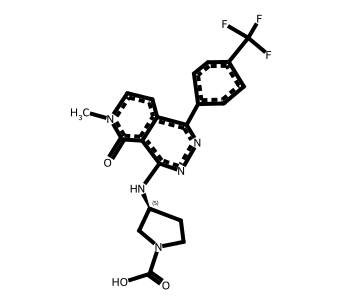 Cn1ccc2c(-c3ccc(C(F)(F)F)cc3)nnc(N[C@H]3CCN(C(=O)O)C3)c2c1=O